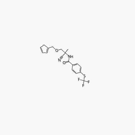 CC(C#N)(COCC1=CC=CC1)NC(=O)c1ccc(SC(F)(F)F)cc1